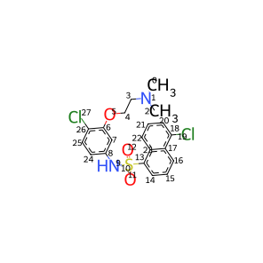 CN(C)CCOc1cc(NS(=O)(=O)c2cccc3c(Cl)cccc23)ccc1Cl